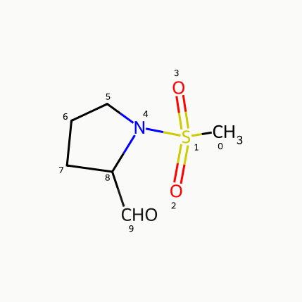 CS(=O)(=O)N1CCCC1C=O